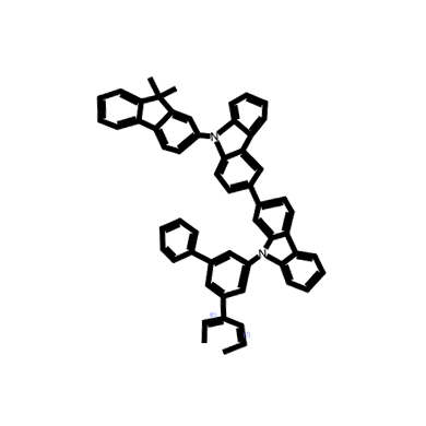 C/C=C\C(=C/C)c1cc(-c2ccccc2)cc(-n2c3ccccc3c3ccc(-c4ccc5c(c4)c4ccccc4n5-c4ccc5c(c4)C(C)(C)c4ccccc4-5)cc32)c1